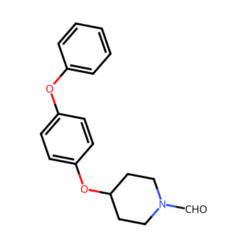 O=CN1CCC(Oc2ccc(Oc3ccccc3)cc2)CC1